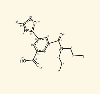 CCCN(CCC)C(=O)c1cc(C(=O)O)cc(-c2nc(C)co2)c1